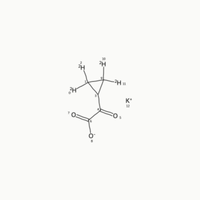 [2H]C1([2H])C(C(=O)C(=O)[O-])C1([2H])[2H].[K+]